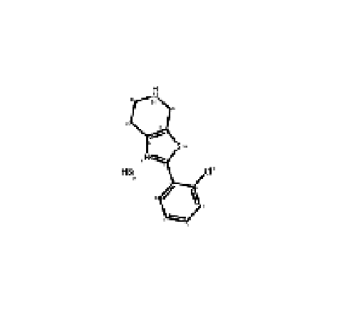 Br.Clc1ccccc1-c1nc2c(s1)CNCC2